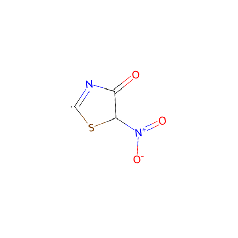 O=C1N=[C]SC1[N+](=O)[O-]